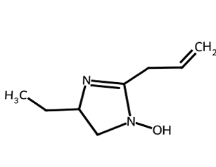 C=CCC1=NC(CC)CN1O